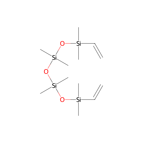 C=C[Si](C)(C)O[Si](C)(C)O[Si](C)(C)O[Si](C)(C)C=C